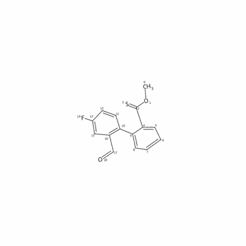 COC(=S)c1ccccc1-c1ccc(F)cc1C=O